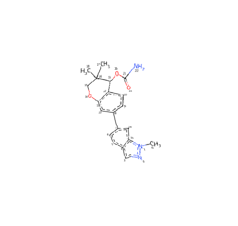 Cn1ncc2ccc(-c3ccc4c(c3)OCC(C)(C)C4OC(N)=O)cc21